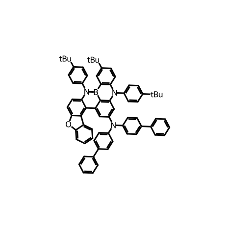 CC(C)(C)c1ccc(N2B3c4cc(C(C)(C)C)ccc4N(c4ccc(C(C)(C)C)cc4)c4cc(N(c5ccc(-c6ccccc6)cc5)c5ccc(-c6ccccc6)cc5)cc(c43)-c3c2ccc2oc4ccccc4c32)cc1